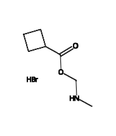 Br.CNCOC(=O)C1CCC1